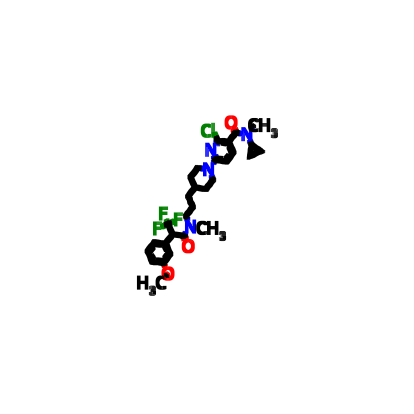 COc1cccc(C(C(=O)N(C)CCCC2CCN(c3ccc(C(=O)N(C)C4CC4)c(Cl)n3)CC2)C(F)(F)F)c1